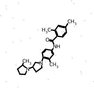 Cc1ccc(C(=O)Nc2ccc(N3CCC(N4CCCC4C)C3)c(C)c2)c(C)c1